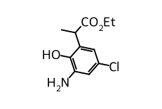 CCOC(=O)C(C)c1cc(Cl)cc(N)c1O